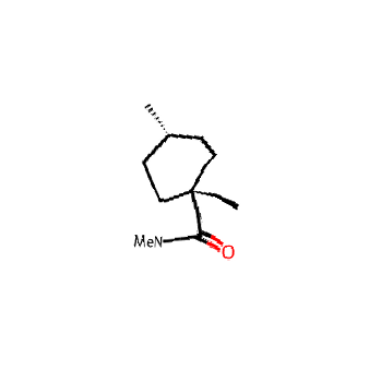 CNC(=O)[C@]1(C)CC[C@H](C)CC1